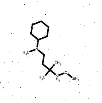 CN(CCC(C)(C)[SiH2]O[SiH3])C1CCCCC1